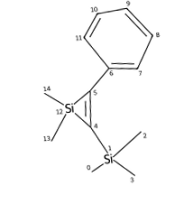 C[Si](C)(C)C1=C(c2ccccc2)[Si]1(C)C